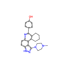 CN1CCN(c2n[nH]c3ccc4nc(-c5ccc(O)cc5)c5c(c4c23)CCCC5)CC1